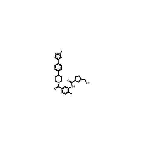 Cc1ccc(C(=O)N2CCC(c3ccc(-c4cnn(C)c4)cc3)CC2)cc1NC(=O)C1CCN(CC(C)C)C1